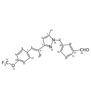 Cc1cc(C(F)=Cc2ccc(OC(F)(F)F)cc2)nn1Cc1cccc(C=O)c1